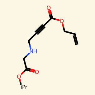 C=CCOC(=O)C#CCNCC(=O)OC(C)C